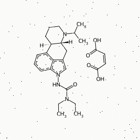 CCN(CC)C(=O)Nn1cc2c3c(cccc31)[C@H]1CCCN(C(C)C)[C@@H]1C2.O=C(O)/C=C\C(=O)O